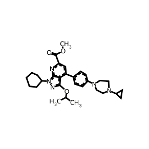 COC(=O)c1cc(-c2ccc(N3CCN(C4CC4)CC3)cc2)c2c(OC(C)C)nn(C3CCCCC3)c2n1